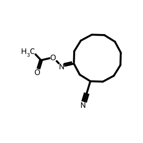 CC(=O)ON=C1CCCCCCCCCC(C#N)C1